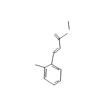 COC(=S)C=Cc1ccccc1C